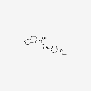 CCOc1ccc(NCCC(O)c2ccc3ccccc3c2)cc1